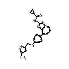 Cc1cc(COc2ccc(-c3cccn4nc(NC(=O)C5CC5)nc34)cc2)no1